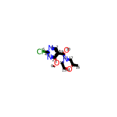 COc1nc(Cl)ncc1C(=O)N1CCOC(C)C1